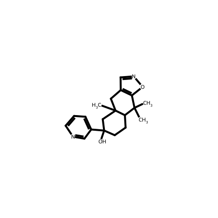 CC12Cc3cnoc3C(C)(C)C1CCC(O)(c1cccnc1)C2